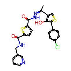 C/C(=N/NC(=O)c1ccc(C(=O)NCc2cccnc2)s1)c1csc(-c2ccc(Cl)cc2)c1O